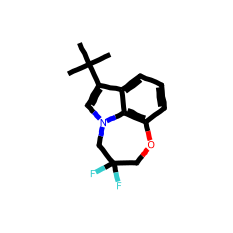 CC(C)(C)c1cn2c3c(cccc13)OCC(F)(F)C2